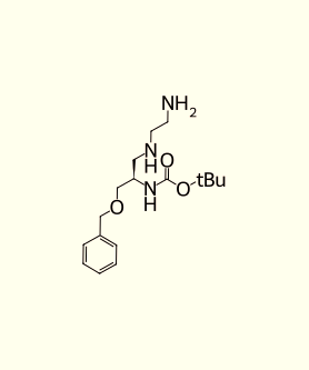 CC(C)(C)OC(=O)N[C@H](CNCCN)COCc1ccccc1